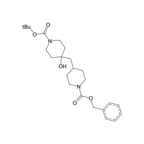 CC(C)(C)OC(=O)N1CCC(O)(CC2CCN(C(=O)OCc3ccccc3)CC2)CC1